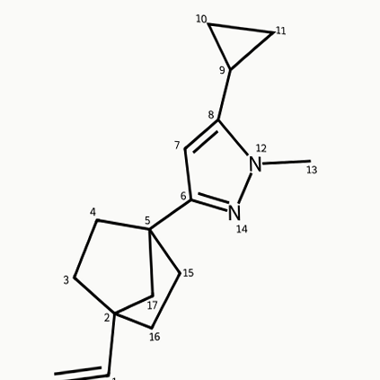 C=CC12CCC(c3cc(C4CC4)n(C)n3)(CC1)C2